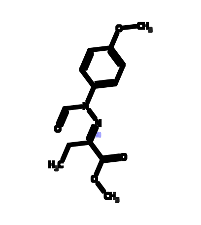 CC/C(=N\N(C=O)c1ccc(OC)cc1)C(=O)OC